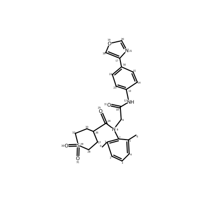 Cc1cccc(C)c1N(CC(=O)Nc1ccc(-c2cocn2)cc1)C(=O)C1CCS(=O)(=O)CC1